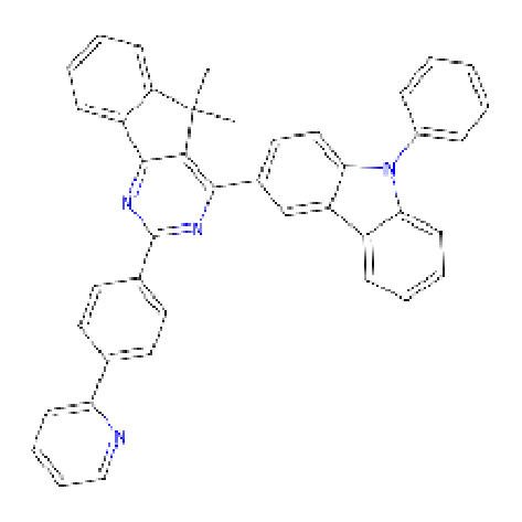 CC1(C)c2ccccc2-c2nc(-c3ccc(-c4ccccn4)cc3)nc(-c3ccc4c(c3)c3ccccc3n4-c3ccccc3)c21